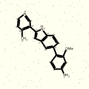 COc1cc(N)ccc1-c1ccc2[nH]c(-c3cnccc3C)cc2c1